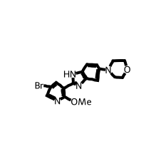 COc1ncc(Br)cc1-c1nc2cc(N3CCOCC3)ccc2[nH]1